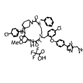 COC[C@@H]1NC(=O)[C@H](C)N(Cc2ccc(Cl)cc2Oc2ccc(-c3cnc(CN(C)C)n3C)cc2)CC[C@@H](Cc2ccccc2)C(=O)N2CCC[C@@](Cc3ccc(Cl)cc3)(C2)NC1=O.O=C(O)C(F)(F)F